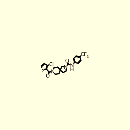 O=C(Nc1ccc(C(F)(F)F)cc1)N1CCC2(CCN(C(=O)c3sccc3Cl)CC2)C1